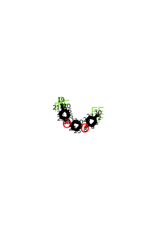 FC(F)(F)c1ccc(Oc2ccc(Oc3ccc(C(F)(F)F)cc3)cc2)cc1